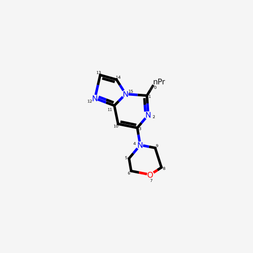 CCCc1nc(N2CCOCC2)cc2nccn12